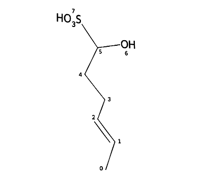 CC=CCCC(O)S(=O)(=O)O